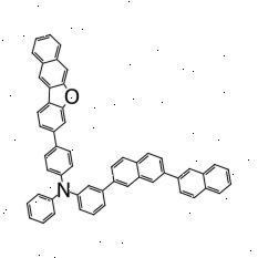 c1ccc(N(c2ccc(-c3ccc4c(c3)oc3cc5ccccc5cc34)cc2)c2cccc(-c3ccc4ccc(-c5ccc6ccccc6c5)cc4c3)c2)cc1